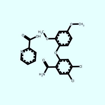 COc1ccc(Oc2cc(Cl)c(Cl)cc2C(N)=O)c(OC)c1.O=C(O)c1ccccn1